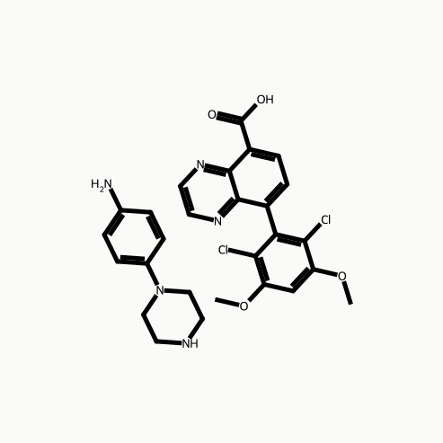 COc1cc(OC)c(Cl)c(-c2ccc(C(=O)O)c3nccnc23)c1Cl.Nc1ccc(N2CCNCC2)cc1